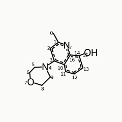 Cc1cc(N2CCOCC2)c2cccc(O)c2n1